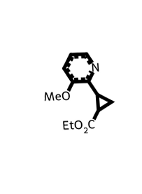 CCOC(=O)C1CC1c1ncccc1OC